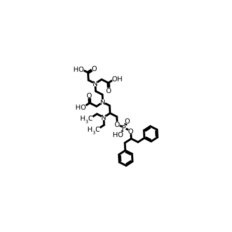 CCN(CC)C(COP(=O)(O)OC(Cc1ccccc1)Cc1ccccc1)CN(CCN(CC(=O)O)CC(=O)O)CC(=O)O